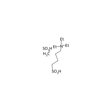 CC[N+](CC)(CC)CCCCS(=O)(=O)O.CS(=O)(=O)O